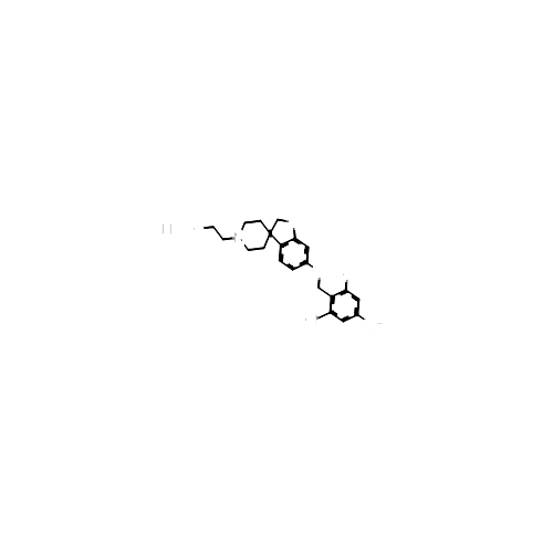 O=C(O)CCN1CCC2(CC1)COc1cc(OCc3c(Cl)cc(C(F)(F)F)cc3Cl)ccc12